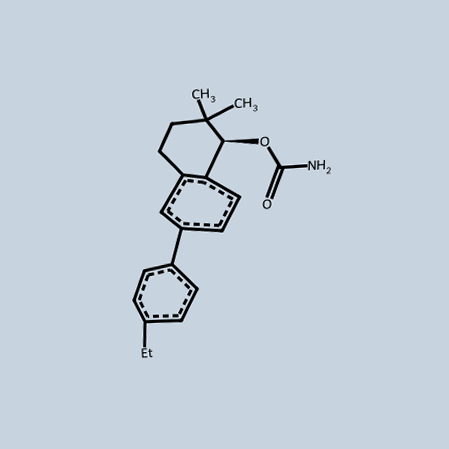 CCc1ccc(-c2ccc3c(c2)CCC(C)(C)[C@H]3OC(N)=O)cc1